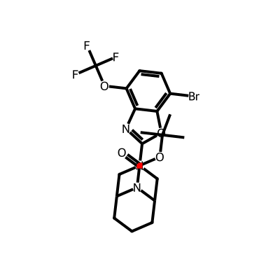 CC(C)(C)OC(=O)N1C2CCCC1CN(c1nc3c(OC(F)(F)F)ccc(Br)c3o1)C2